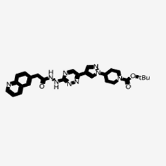 CC(C)(C)OC(=O)N1CCC(n2cc(-c3cnc(NNC(=O)Cc4ccc5ncccc5c4)nn3)cn2)CC1